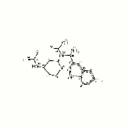 Cc1ccc2nc(N3CCC(N[C@H](C)C(C)C)CC3)c(C(N)NC(C)O)cc2c1